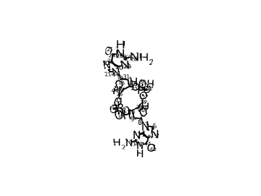 Nc1nc2c(ncn2[C@H]2CC3OP(=O)(O)OC[C@H]4O[C@@H](n5cnc6c(=O)[nH]c(N)nc65)C[C@H]4OP(=O)(O)OC[C@H]3O2)c(=O)[nH]1